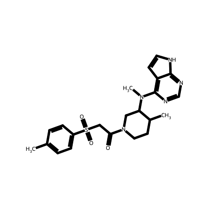 Cc1ccc(S(=O)(=O)CC(=O)N2CCC(C)C(N(C)c3ncnc4[nH]ccc34)C2)cc1